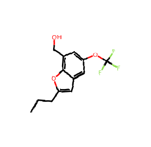 CCCc1cc2cc(OC(F)(F)F)cc(CO)c2o1